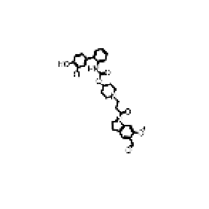 COc1cc2c(cc1C=O)CCN2C(=O)CCN1CCC(OC(=O)Nc2ccccc2-c2ccc(O)c(Cl)c2)CC1